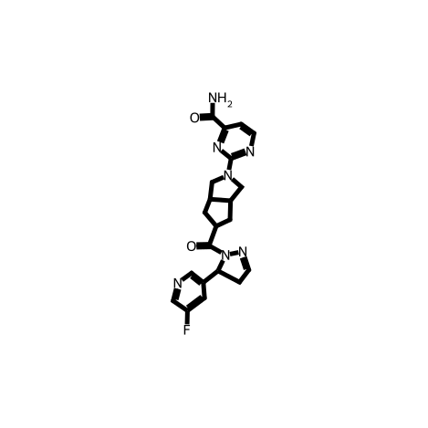 NC(=O)c1ccnc(N2CC3CC(C(=O)N4N=CCC4c4cncc(F)c4)CC3C2)n1